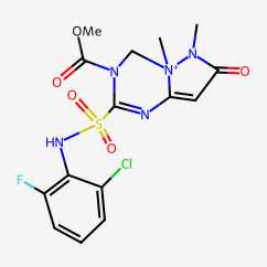 COC(=O)N1C[N+]2(C)C(=CC(=O)N2C)N=C1S(=O)(=O)Nc1c(F)cccc1Cl